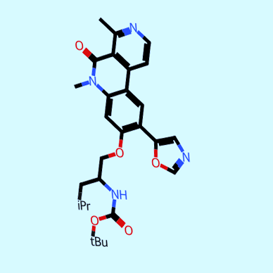 Cc1nccc2c1c(=O)n(C)c1cc(OCC(CC(C)C)NC(=O)OC(C)(C)C)c(-c3cnco3)cc21